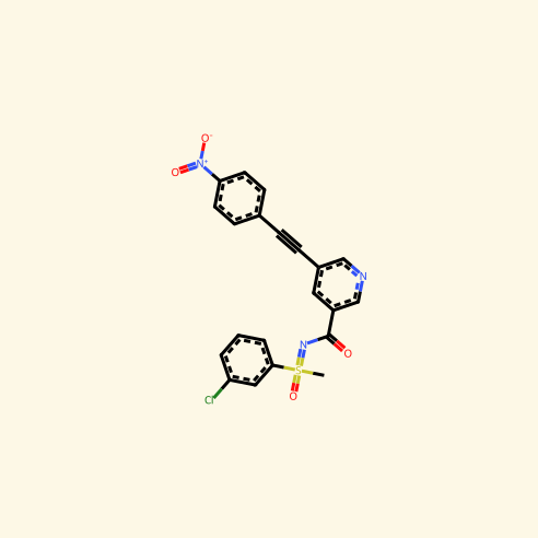 CS(=O)(=NC(=O)c1cncc(C#Cc2ccc([N+](=O)[O-])cc2)c1)c1cccc(Cl)c1